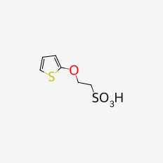 O=S(=O)(O)CCOc1cccs1